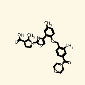 Cc1ccc(OCc2ccc(C(=O)N3CCOCC3)cc2C)c(-c2csc(N3CCC(C(=O)O)C3C)n2)c1